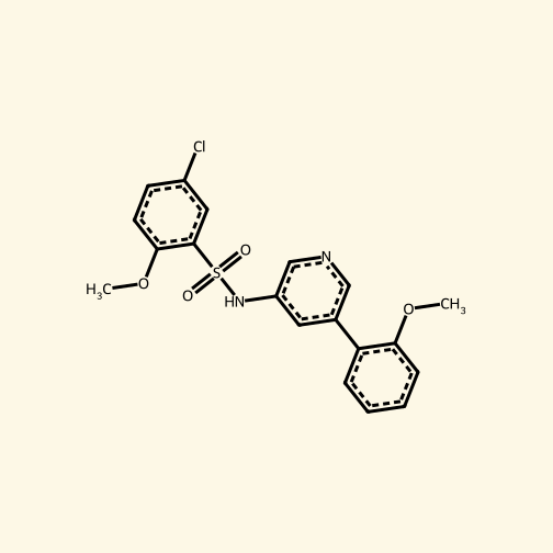 COc1ccccc1-c1cncc(NS(=O)(=O)c2cc(Cl)ccc2OC)c1